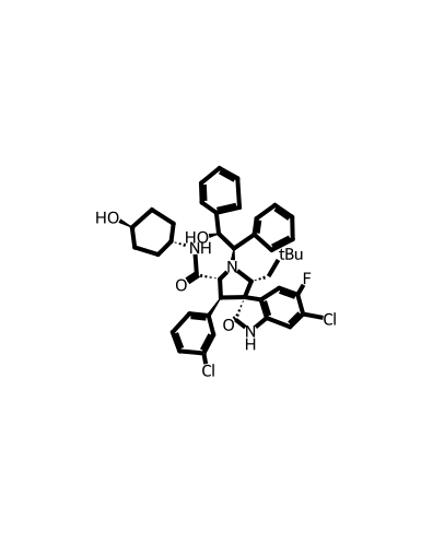 CC(C)(C)C[C@H]1N([C@H](c2ccccc2)[C@@H](O)c2ccccc2)[C@@H](C(=O)N[C@H]2CC[C@H](O)CC2)[C@H](c2cccc(Cl)c2)[C@@]12C(=O)Nc1cc(Cl)c(F)cc12